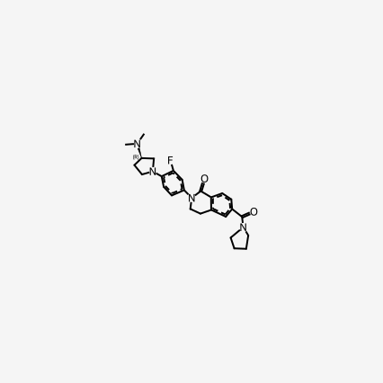 CN(C)[C@@H]1CCN(c2ccc(N3CCc4cc(C(=O)N5CCCC5)ccc4C3=O)cc2F)C1